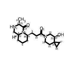 C[C@@H]1NC[C@@H]2CCC[C@H](CCC(=O)N3CCC4(CC4)[C@H](O)C3)N2C1=O